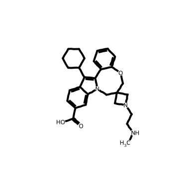 CNCCN1CC2(COc3ccccc3-c3c(C4CCCCC4)c4ccc(C(=O)O)cc4n3C2)C1